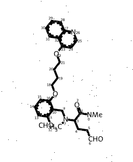 CNC(=O)C(CCC=O)N(C)Cc1c(C=O)cccc1OCCCCOc1ccnc2ccccc12